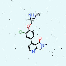 CC(C)C[C@](C)(N)COc1ccc(-c2ccnc3c2C(=O)N(C)C3)cc1Cl